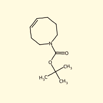 CC(C)(C)OC(=O)N1CC/C=C\CCC1